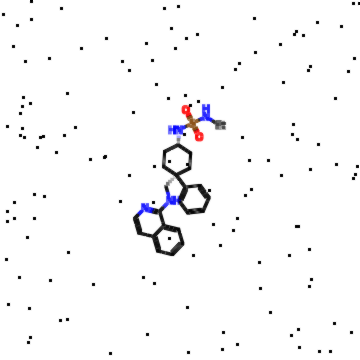 CCNS(=O)(=O)N[C@H]1CC[C@](CNc2nccc3ccccc23)(c2ccccc2)CC1